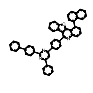 c1ccc(-c2ccc(-c3nc(-c4ccccc4)cc(-c4ccc(-c5nc6cccc(-c7cccc8ccccc78)c6c6oc7ccccc7c56)cc4)n3)cc2)cc1